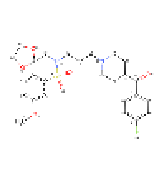 COc1ccc2c(c1)S(=O)(=O)N(CCCN1CCC(C(=O)c3ccc(F)cc3)CC1)CC21OCCO1